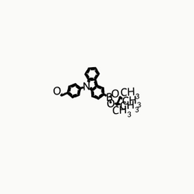 CC1(C)OB(c2ccc3c(c2)c2ccccc2n3-c2ccc(C=O)cc2)OC1(C)C